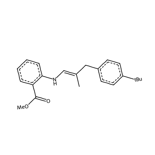 COC(=O)c1ccccc1N/C=C(\C)Cc1ccc(C(C)(C)C)cc1